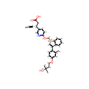 CC#C[C@H](CC(=O)O)c1ccc(OC[SH]2C=C(c3ccc(OCCC(C)(C)O)cc3C)c3ccccc32)nc1